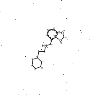 c1cc(CNCCC2CCCCC2)c2c(c1)OCO2